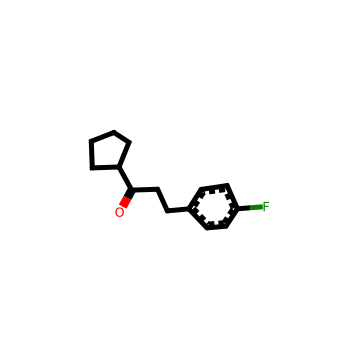 O=C(CCc1ccc(F)cc1)C1CCCC1